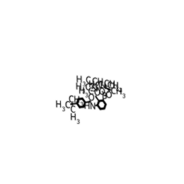 CC(C)(C)c1ccc(C(=O)Nc2cccc(B3OC(C)(C)C(C)(C)O3)c2CO[Si](C)(C)C(C)(C)C)cc1